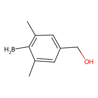 Bc1c(C)cc(CO)cc1C